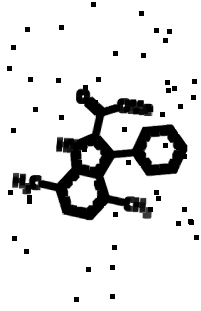 COC(=O)c1[nH]c2c(C)ccc(C)c2c1-c1ccccc1